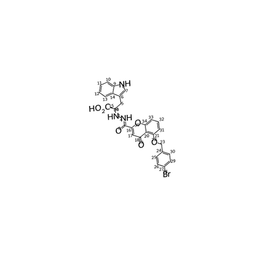 O=C(NN[C@H](Cc1c[nH]c2ccccc12)C(=O)O)c1cc(=O)c2c(OCc3ccc(Br)cc3)cccc2o1